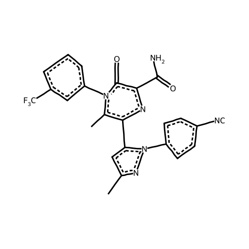 [C-]#[N+]c1ccc(-n2nc(C)cc2-c2nc(C(N)=O)c(=O)n(-c3cccc(C(F)(F)F)c3)c2C)cc1